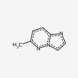 [CH2]c1ccc2nccn2n1